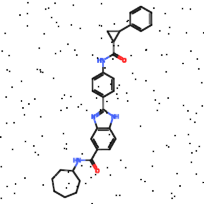 O=C(NC1CCCCCC1)c1ccc2[nH]c(-c3ccc(NC(=O)C4CC4c4ccccc4)cc3)nc2c1